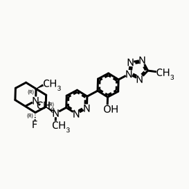 Cc1nnn(-c2ccc(-c3ccc(N(C)[C@@H]4C[C@@]5(C)CCCC([C@H]4F)N5C)nn3)c(O)c2)n1